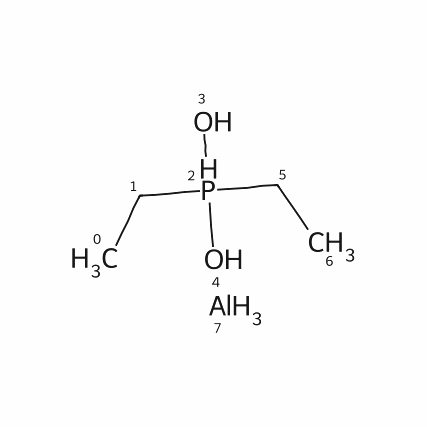 CC[PH](O)(O)CC.[AlH3]